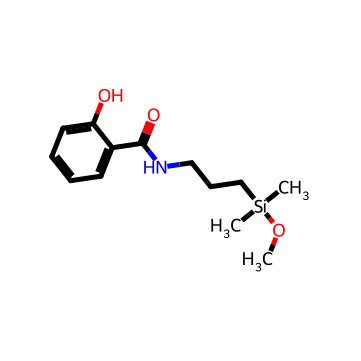 CO[Si](C)(C)CCCNC(=O)c1ccccc1O